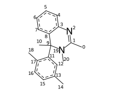 CC1=Nc2ccccc2C(C)(c2cc(C)ccc2C)N1C